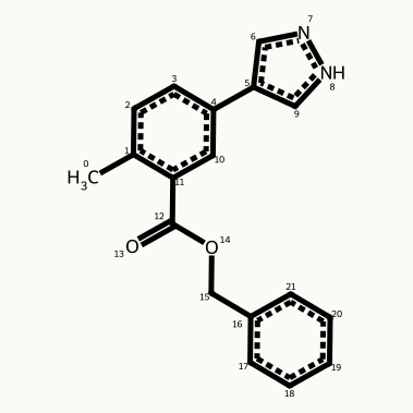 Cc1ccc(-c2cn[nH]c2)cc1C(=O)OCc1ccccc1